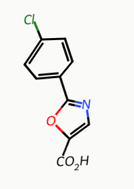 O=C(O)c1cnc(-c2ccc(Cl)cc2)o1